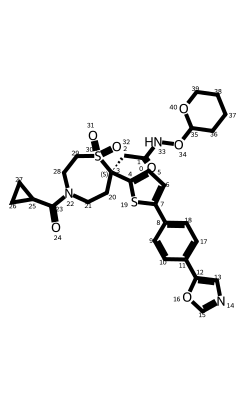 O=C(C[C@]1(c2ccc(-c3ccc(-c4cnco4)cc3)s2)CCN(C(=O)C2CC2)CCS1(=O)=O)NOC1CCCCO1